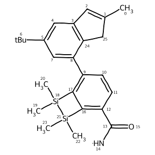 CC1=Cc2cc(C(C)(C)C)cc(-c3ccc(C([NH])=O)c4c3[Si](C)(C)[Si]4(C)C)c2C1